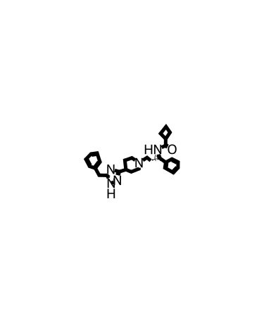 O=C(N[C@@H](CCN1CCC(c2n[nH]c(Cc3ccccc3)n2)CC1)c1ccccc1)C1CCC1